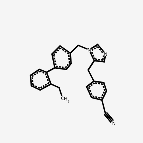 CCc1ccccc1-c1ccc(Cn2cncc2Cc2ccc(C#N)cc2)cc1